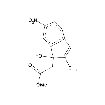 COC(=O)CC1(O)C(C)=Cc2ccc([N+](=O)[O-])cc21